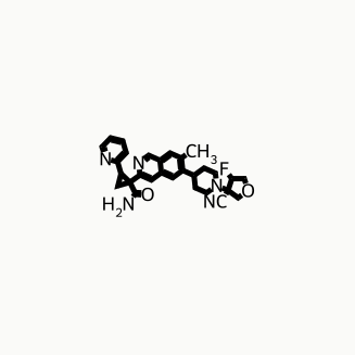 Cc1cc2cnc(C3(C(N)=O)CC3c3ccccn3)cc2cc1C1CCN(C2(C#N)COCC2F)CC1